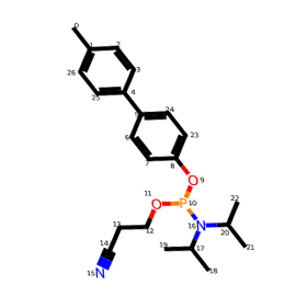 Cc1ccc(-c2ccc(OP(OCCC#N)N(C(C)C)C(C)C)cc2)cc1